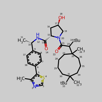 Cc1ncsc1-c1ccc([C@H](C)NC(=O)[C@@H]2C[C@@H](O)CN2C(=O)C(C(C)(C)C)C2(C)CCCCC(C)(C(C)(C)C)CCC2)cc1